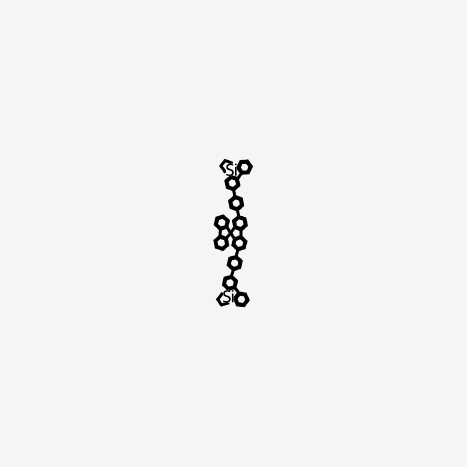 c1ccc2c(c1)-c1ccccc1C21c2cc(-c3ccc(-c4ccc5c(c4)-c4ccccc4[Si]54CCCC4)cc3)ccc2-c2ccc(-c3ccc(-c4ccc5c(c4)-c4ccccc4[Si]54CCCC4)cc3)cc21